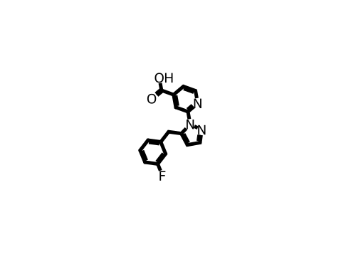 O=C(O)c1ccnc(-n2nccc2Cc2cccc(F)c2)c1